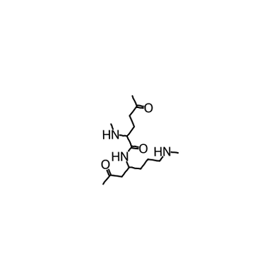 CNCCCC(CC(C)=O)NC(=O)C(CCC(C)=O)NC